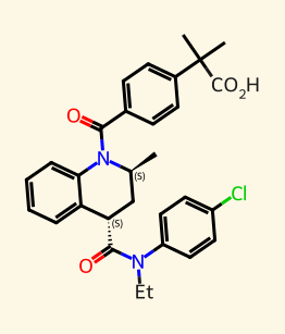 CCN(C(=O)[C@H]1C[C@H](C)N(C(=O)c2ccc(C(C)(C)C(=O)O)cc2)c2ccccc21)c1ccc(Cl)cc1